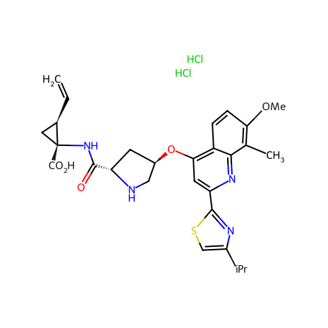 C=C[C@@H]1C[C@]1(NC(=O)[C@@H]1C[C@@H](Oc2cc(-c3nc(C(C)C)cs3)nc3c(C)c(OC)ccc23)CN1)C(=O)O.Cl.Cl